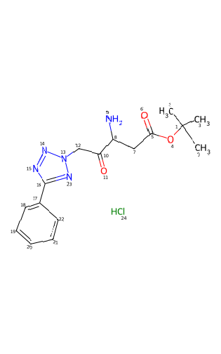 CC(C)(C)OC(=O)CC(N)C(=O)Cn1nnc(-c2ccccc2)n1.Cl